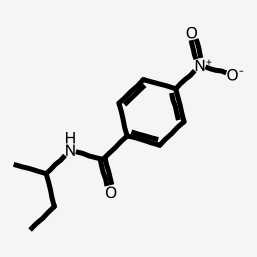 CCC(C)NC(=O)c1ccc([N+](=O)[O-])cc1